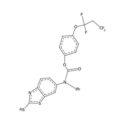 CC(C)N(C(=O)Oc1ccc(OC(F)(F)CC(F)(F)F)cc1)c1ccc2nc(S)sc2c1